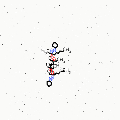 CCCCCCC(CC)(/N=N/C1CCCCC1)OOC(CC)(CC)CCC(CC)(CC)OOC(CC)(CCCCCC)/N=N/C1CCCCC1